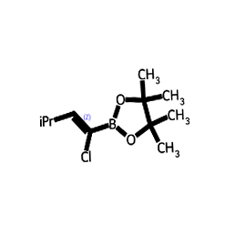 CC(C)/C=C(\Cl)B1OC(C)(C)C(C)(C)O1